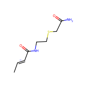 C/C=C/C(=O)NCCSCC(N)=O